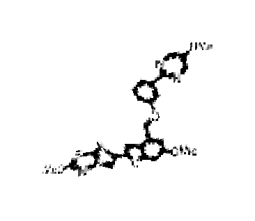 COc1cnc(-c2cccc(OCc3cc(OC)cc4oc(-c5cn6nc(OC)sc6n5)cc34)c2)nc1